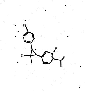 CCc1ccc(C2C(c3ccc(C(C)F)c(F)c3)C2(C)Cl)cc1